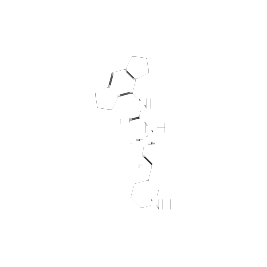 O=C(Nc1c2c(cc3c1CCC3)CCC2)NS(=O)(=O)/C=C/C1CCCNC1